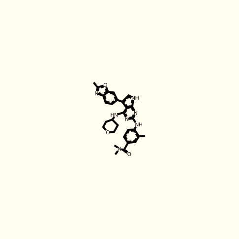 Cc1nc2ccc(-c3c[nH]c4nc(Nc5ccc(C(=O)N(C)C)cc5C)nc(NC5CCOCC5)c34)cc2o1